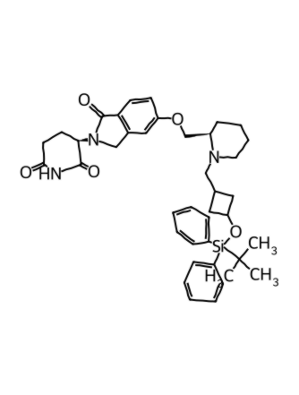 CC(C)(C)[Si](OC1CC(CN2CCCC[C@@H]2COc2ccc3c(c2)CN([C@@H]2CCC(=O)NC2=O)C3=O)C1)(c1ccccc1)c1ccccc1